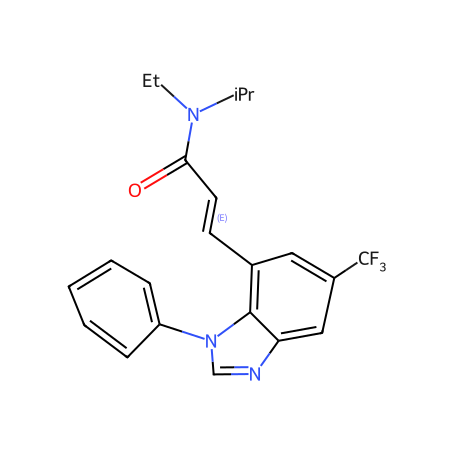 CCN(C(=O)/C=C/c1cc(C(F)(F)F)cc2ncn(-c3ccccc3)c12)C(C)C